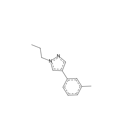 CCCn1cc(-c2cccc(C)c2)cn1